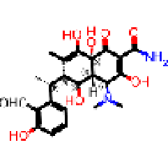 CC1=C(O)[C@]2(O)C(=O)C(C(N)=O)=C(O)[C@@H](N(C)C)[C@@H]2[C@@H](O)[C@@H]1[C@@H](C)c1cccc(O)c1C=O